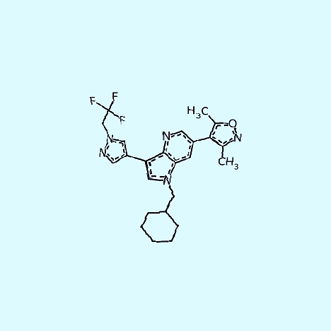 Cc1noc(C)c1-c1cnc2c(-c3cnn(CC(F)(F)F)c3)cn(CC3CCCCC3)c2c1